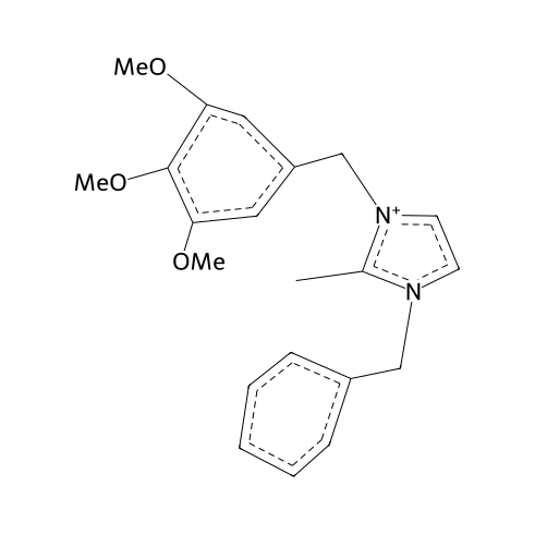 COc1cc(C[n+]2ccn(Cc3ccccc3)c2C)cc(OC)c1OC